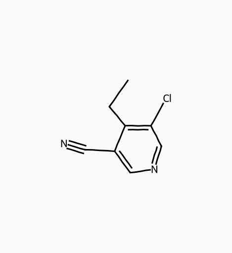 CCc1c(Cl)cncc1C#N